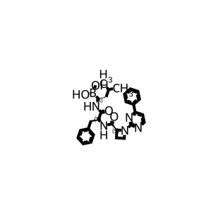 CC(C)C[C@H](NC(=O)[C@H](Cc1ccccc1)NC(=O)[C@@H]1CCN1c1nccc(-c2ccccc2)n1)B(O)O